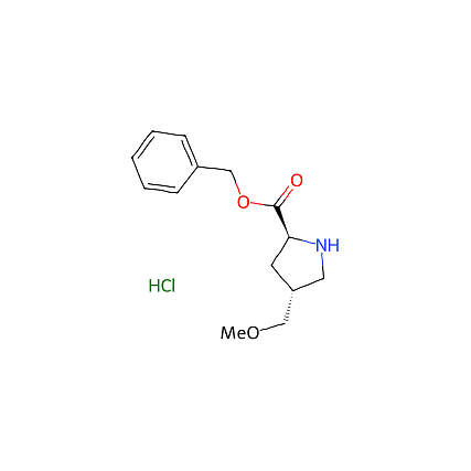 COC[C@H]1CN[C@H](C(=O)OCc2ccccc2)C1.Cl